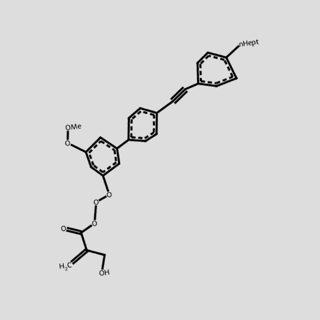 C=C(CO)C(=O)OOOc1cc(OOC)cc(-c2ccc(C#Cc3ccc(CCCCCCC)cc3)cc2)c1